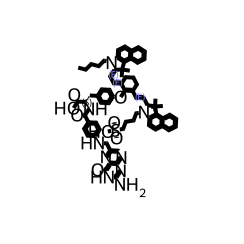 CCCCCN1/C(=C/C=C2\CCCC(/C=C/C3=[N+](CCCCS(=O)(=O)O)c4ccc5ccccc5c4C3(C)C)=C2Oc2ccc(C[C@H](NC(=O)c3ccc(NCc4cnc5nc(N)[nH]c(=O)c5n4)cc3)C(=O)O)cc2)C(C)(C)c2c1ccc1ccccc21